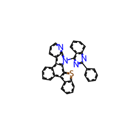 c1ccc(-c2nc(-n3c4ncccc4c4c5ccccc5c5c6ccccc6sc5c43)c3ccccc3n2)cc1